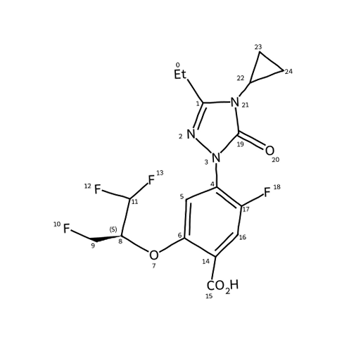 CCc1nn(-c2cc(O[C@@H](CF)C(F)F)c(C(=O)O)cc2F)c(=O)n1C1CC1